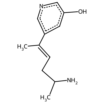 CC(=CCC(C)N)c1cncc(O)c1